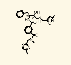 Cc1cc(CNC[C@@H](O)[C@H](Cc2ccccc2)NC(=O)c2cccc(C(=O)N(C)Cc3nc(C)cs3)c2)on1